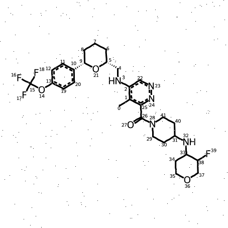 Cc1c(NC[C@H]2CCC[C@@H](c3ccc(OC(F)(F)F)cc3)O2)cnnc1C(=O)N1CCC(NC2CCOCC2F)CC1